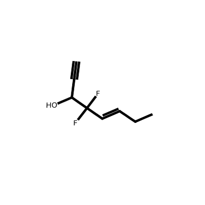 C#CC(O)C(F)(F)C=CCC